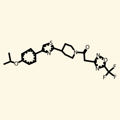 CC(C)Oc1ccc(-c2csc(C3CCN(C(=O)Cc4noc(C(F)(F)F)n4)CC3)n2)cc1